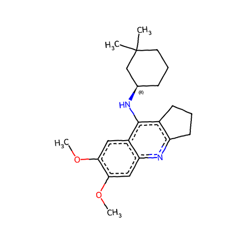 COc1cc2nc3c(c(N[C@@H]4CCCC(C)(C)C4)c2cc1OC)CCC3